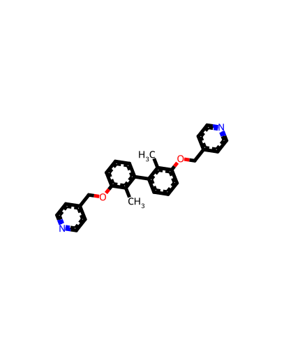 Cc1c(OCc2ccncc2)cccc1-c1cccc(OCc2ccncc2)c1C